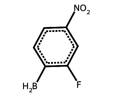 Bc1ccc([N+](=O)[O-])cc1F